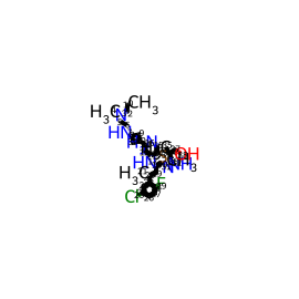 CCCN(C)CCNC1CC(C/C=C(\C=C/N)NC(/C=C(\C)c2cc(Cl)ccc2F)=C(/N=N)SC(C)(C)CO)C1